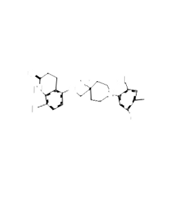 NC1(COc2ccc(F)c3c2CCC(=O)N3)CCN(c2cc(Cl)c(F)cc2Cl)CC1